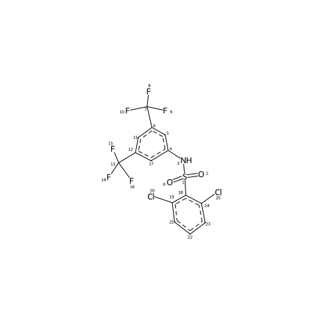 O=S(=O)(Nc1cc(C(F)(F)F)cc(C(F)(F)F)c1)c1c(Cl)cccc1Cl